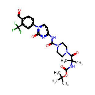 CC(C)(C)OC(=O)NC(C)(C)C(=O)N1CCN(C(=O)Nc2ccn(-c3ccc(C=O)c(C(F)(F)F)c3)c(=O)n2)CC1